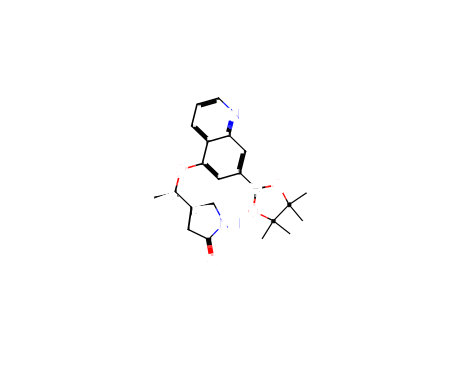 C[C@@H](Oc1cc(B2OC(C)(C)C(C)(C)O2)cc2ncccc12)[C@H]1CNC(=O)C1